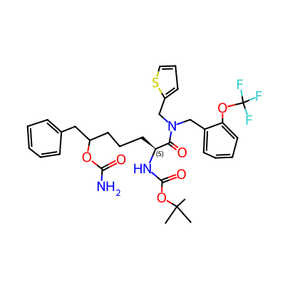 CC(C)(C)OC(=O)N[C@@H](CCCC(Cc1ccccc1)OC(N)=O)C(=O)N(Cc1cccs1)Cc1ccccc1OC(F)(F)F